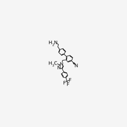 Cc1nc(-c2ccc(C(F)(F)F)cc2)cn1Cc1cc(C#N)ccc1-c1ccc(CCN)cc1